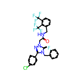 C=C1N(CC(=O)NCc2cccc(C(F)(F)F)c2C(F)(F)F)N=C(c2ccc(Cl)cc2)N1Cc1ccccc1F